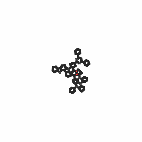 c1ccc(-c2cc(-c3ccccc3)nc(-c3ccc(-n4c5ccccc5c5c6sc7ccccc7c6ccc54)c(-c4ccc(-c5ccc6c7c5N(c5ccccc5)c5ccccc5B7c5ccccc5N6c5ccccc5)cc4)c3)n2)cc1